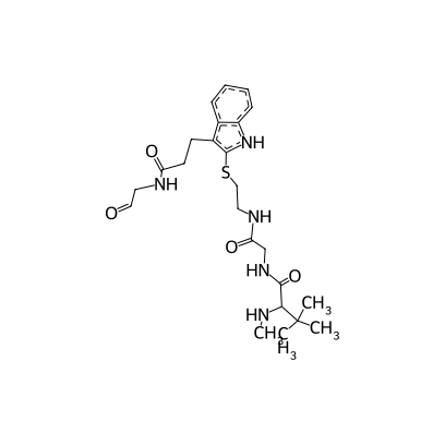 CNC(C(=O)NCC(=O)NCCSc1[nH]c2ccccc2c1CCC(=O)NCC=O)C(C)(C)C